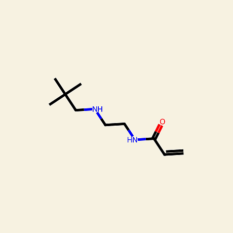 C=CC(=O)NCCNCC(C)(C)C